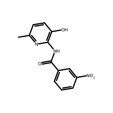 Cc1ccc(O)c(NC(=O)c2cccc([N+](=O)[O-])c2)n1